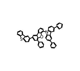 c1ccc(-c2ccc3c(c2)c2cc(-c4ccccc4)ccc2n3-c2cccc3c2oc2c(-c4ccccc4)cc(-c4ccc5sc6ccccc6c5c4)cc23)cc1